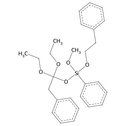 CCOC(Cc1ccccc1)(OCC)O[Si](OC)(OCCc1ccccc1)c1ccccc1